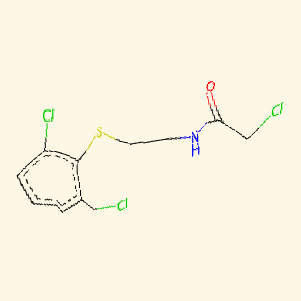 O=C(CCl)NCCSc1c(Cl)cccc1Cl